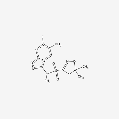 CC(c1noc2cc(F)c(N)cc12)S(=O)(=O)C1=NOC(C)(C)C1